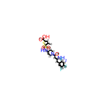 Cc1cc(C(=O)O)sc1S(=O)(=O)NC1CCN(C(=O)C[C@H](N)Cc2cc(F)c(F)cc2F)CC1